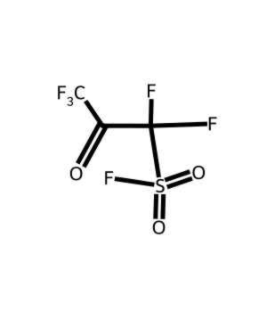 O=C(C(F)(F)F)C(F)(F)S(=O)(=O)F